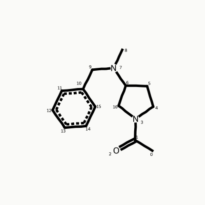 CC(=O)N1CCC(N(C)Cc2ccccc2)C1